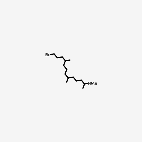 [CH2]CC(C)CCCC(C)CCCC(C)CCCC(C)NC